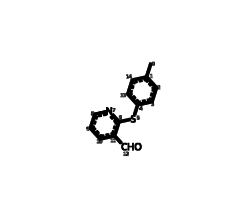 Cc1ccc(Sc2ncccc2C=O)cc1